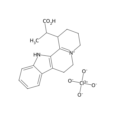 CC(C(=O)O)C1CCC[N+]2=C1c1[nH]c3ccccc3c1CC2.[O-][Cl+3]([O-])([O-])[O-]